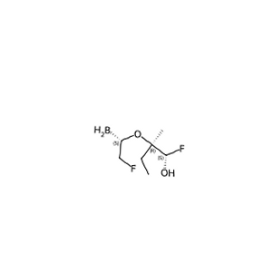 B[C@@H](CF)O[C@](C)(CC)[C@@H](O)F